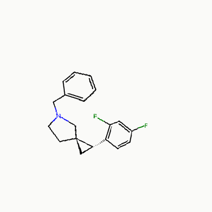 Fc1ccc([C@@H]2C[C@]23CCN(Cc2ccccc2)C3)c(F)c1